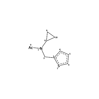 CC(=O)N(Cc1cccs1)C1CC1